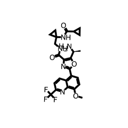 COc1ccc(-c2nc(C(=O)NCC3(NC(=O)C4CC4)CC3)c([C@H](C)N)o2)c2ccc(C(F)(F)F)nc12